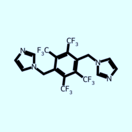 FC(F)(F)c1c(Cn2ccnc2)c(C(F)(F)F)c(C(F)(F)F)c(Cn2ccnc2)c1C(F)(F)F